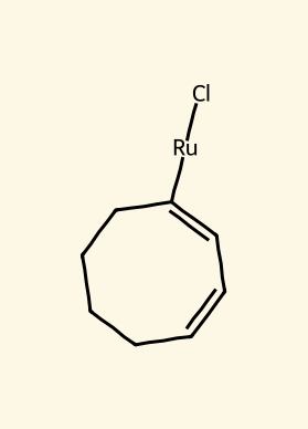 [Cl][Ru][C]1=CC=CCCCC1